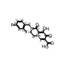 O=C(O)c1cn2c(c(O)c1=O)C(=O)N(Cc1ccc(F)cc1F)CC2